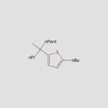 CCCCCC(C)(CCC)c1ccc(CCCC)s1